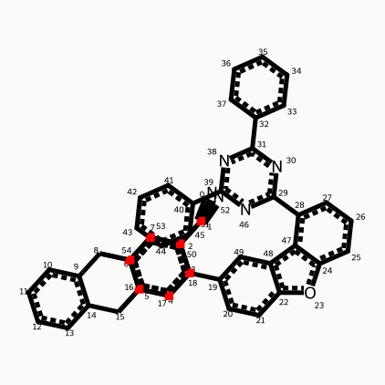 N#Cc1ccc2c(c1)C1c3ccccc3C2c2cc(-c3ccc4oc5cccc(-c6nc(-c7ccccc7)nc(-c7ccccc7)n6)c5c4c3)c(C#N)cc21